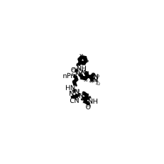 CCC/C(CCCNc1ncc(C#N)c(N2CCC3(CNC(=O)C3)C2)n1)=[N+](\C(=O)NCc1ccccc1)c1ccc(-c2cnn(C)c2)cn1